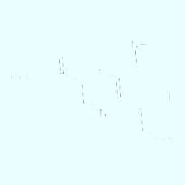 CC(C)CC(O)c1ncc(C(=O)OC(C)(C)C)cc1CN